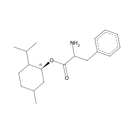 CC1CCC(C(C)C)[C@@H](OC(=O)C(N)Cc2ccccc2)C1